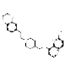 COc1ccc2nccc(OCC3CCN(CCc4ccc5c(c4)OCCO5)CC3)c2n1.Cl